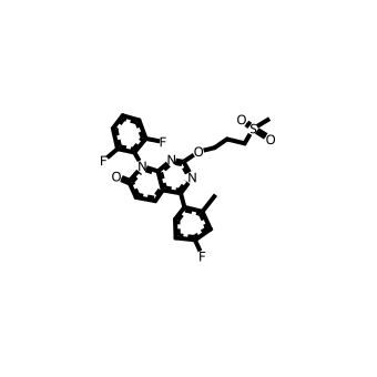 Cc1cc(F)ccc1-c1nc(OCCCS(C)(=O)=O)nc2c1ccc(=O)n2-c1c(F)cccc1F